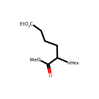 CCCCCCC(CCCC(=O)OCC)C(=O)OC